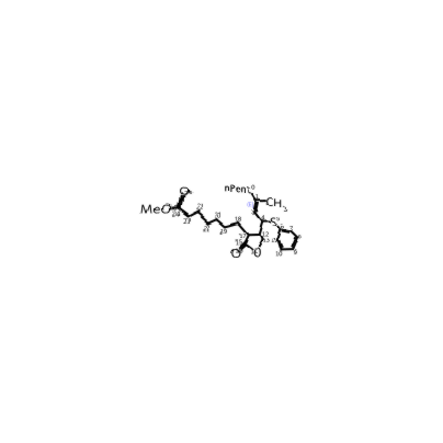 CCCCC/C(C)=C/C(Sc1ccccc1)C1COC(=O)C1CCCCCCC(=O)OC